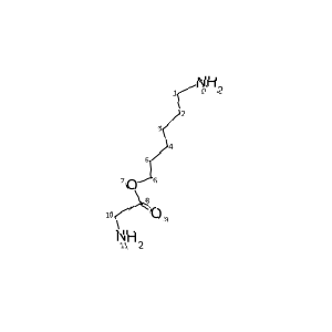 NCCCCCCOC(=O)CN